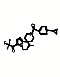 CN1CCn2c(C(=O)C(F)(F)F)ccc2C12CCN(C(=O)c1ccc(C3CC3)cc1)CC2